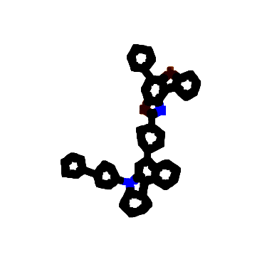 c1ccc(-c2ccc(-n3c4ccccc4c4c5ccccc5c(-c5ccc(-c6nc7c(cc(-c8ccccc8)c8sc9ccccc9c87)s6)cc5)cc43)cc2)cc1